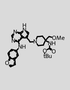 COCC1(NC(=O)OC(C)(C)C)CCN(Cc2c[nH]c3ncnc(Nc4ccc5occc5c4)c23)CC1